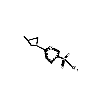 CC1CN(c2ccc(S(N)(=O)=O)cn2)C1